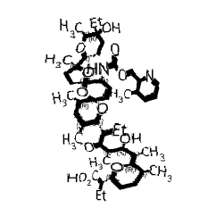 CCC(C(=O)[C@@H](C)[C@@H](O)[C@H](C)[C@@H]1O[C@@H](C(CC)C(=O)O)CC[C@@H]1C)[C@H]1O[C@]2(C=C[C@@H](NC(=O)OCC3N=CC=CC3C)[C@]3(CC[C@@](C)([C@H]4CC[C@](O)(CC)[C@H](C)O4)O3)O2)[C@H](C)C[C@@H]1C